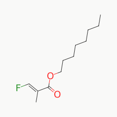 CCCCCCCCOC(=O)C(C)=CF